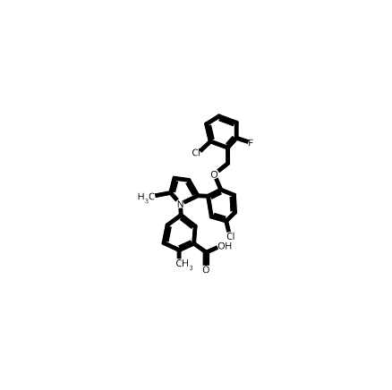 Cc1ccc(-n2c(C)ccc2-c2cc(Cl)ccc2OCc2c(F)cccc2Cl)cc1C(=O)O